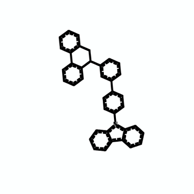 c1cc(-c2ccc(-n3c4ccccc4c4ccccc43)cc2)cc(C2Cc3ccccc3-c3ccccc32)c1